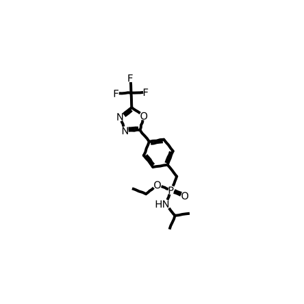 CCOP(=O)(Cc1ccc(-c2nnc(C(F)(F)F)o2)cc1)NC(C)C